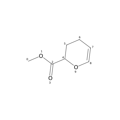 COC(=O)C1CCC=CO1